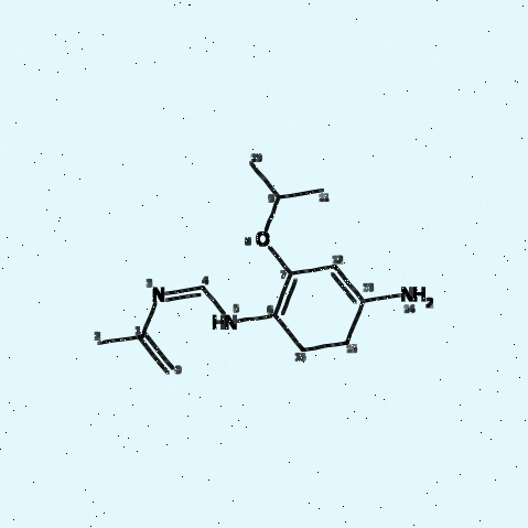 C=C(C)/N=C\NC1=C(OC(C)C)C=C(N)CC1